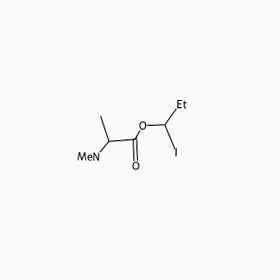 CCC(I)OC(=O)C(C)NC